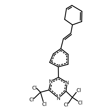 ClC(Cl)(Cl)c1nc(-c2ccc(/C=C/C3C=CC=CC3)cc2)nc(C(Cl)(Cl)Cl)n1